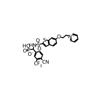 N#Cc1ccc(C(NS(=O)(=O)c2cc3ccc(OCC[n+]4ccccc4)cc3s2)P(=O)([O-])O)cc1C(F)(F)F